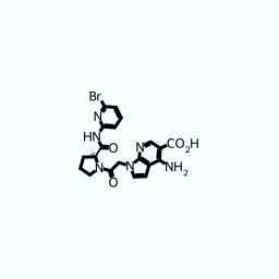 Nc1c(C(=O)O)cnc2c1ccn2CC(=O)N1CCC[C@H]1C(=O)Nc1cccc(Br)n1